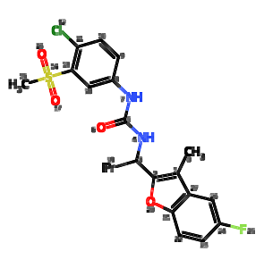 Cc1c(C(NC(=O)Nc2ccc(Cl)c(S(C)(=O)=O)c2)C(C)C)oc2ccc(F)cc12